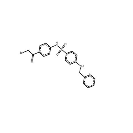 O=C(CBr)c1ccc(NS(=O)(=O)c2ccc(NCc3ccccn3)cc2)cc1